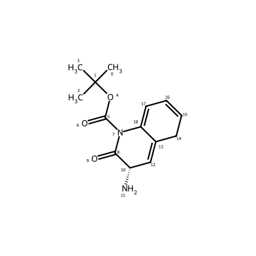 CC(C)(C)OC(=O)N1C(=O)[C@@H](N)C=C2CC=CC=C21